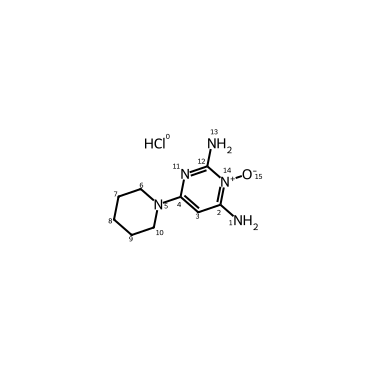 Cl.Nc1cc(N2CCCCC2)nc(N)[n+]1[O-]